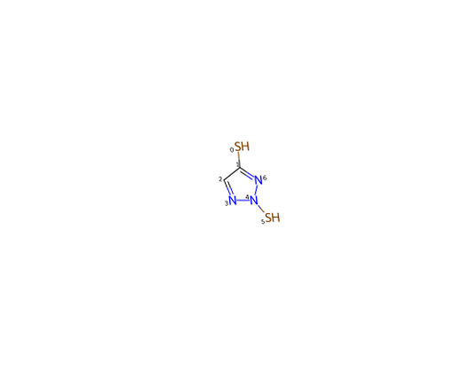 Sc1cnn(S)n1